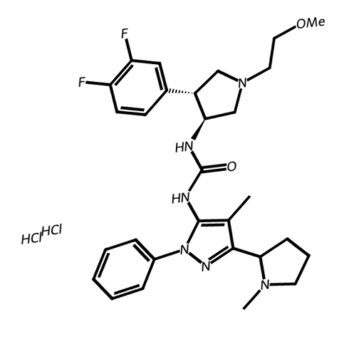 COCCN1C[C@@H](NC(=O)Nc2c(C)c(C3CCCN3C)nn2-c2ccccc2)[C@H](c2ccc(F)c(F)c2)C1.Cl.Cl